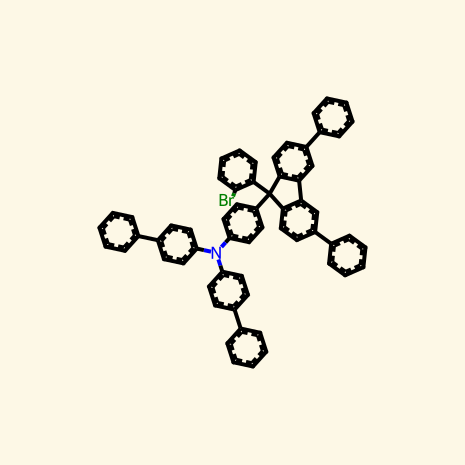 Brc1ccccc1C1(c2ccc(N(c3ccc(-c4ccccc4)cc3)c3ccc(-c4ccccc4)cc3)cc2)c2ccc(-c3ccccc3)cc2-c2cc(-c3ccccc3)ccc21